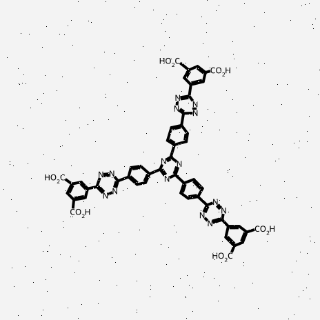 O=C(O)c1cc(C(=O)O)cc(-c2nnc(-c3ccc(-c4nc(-c5ccc(-c6nnc(-c7cc(C(=O)O)cc(C(=O)O)c7)nn6)cc5)nc(-c5ccc(-c6nnc(-c7cc(C(=O)O)cc(C(=O)O)c7)nn6)cc5)n4)cc3)nn2)c1